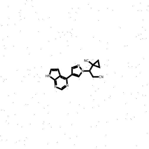 N#CCC(n1cc(-c2ncnc3[nH]ccc23)cn1)C1(C#N)CC1